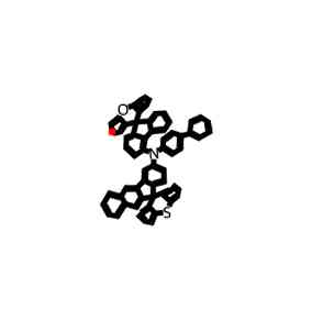 c1ccc(-c2ccc(N(c3ccc4c(c3)-c3cc5ccccc5cc3C43c4ccccc4Sc4ccccc43)c3cccc4c3-c3ccccc3C43c4ccccc4Oc4ccccc43)cc2)cc1